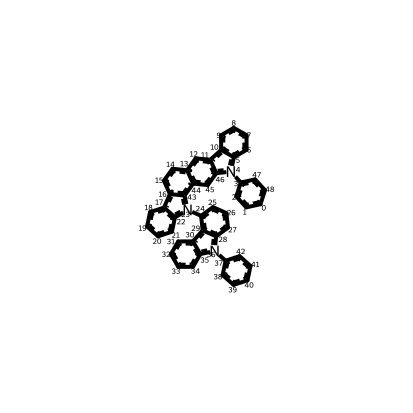 c1ccc(-n2c3ccccc3c3cc4ccc5c6ccccc6n(-c6cccc7c6c6ccccc6n7-c6ccccc6)c5c4cc32)cc1